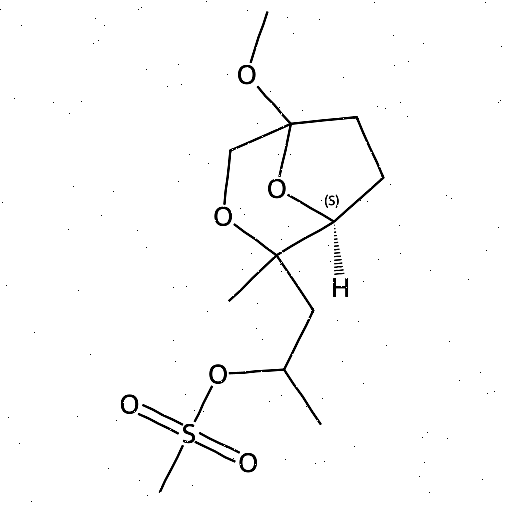 COC12CC[C@H](O1)C(C)(CC(C)OS(C)(=O)=O)OC2